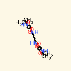 C=C(C)C(=O)Nc1ccc(OC(=O)NCCCCCCNC(=O)Oc2ccc(NC(=O)C(=C)C)cc2)cc1